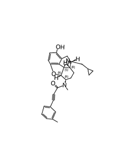 Cc1cccc(C#CC(=O)N(C)[C@@H]2CC[C@H]3[C@H]4Cc5c(O)ccc6c5[C@@]3(CCN4CC3CC3)[C@H]2O6)c1